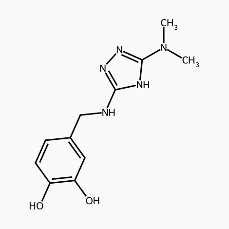 CN(C)c1nnc(NCc2ccc(O)c(O)c2)[nH]1